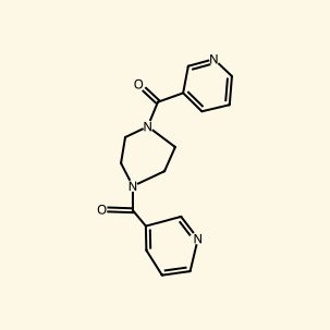 O=C(c1cccnc1)N1CCN(C(=O)c2cccnc2)CC1